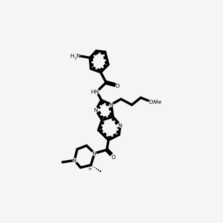 COCCCn1c(NC(=O)c2cccc(N)c2)nc2cc(C(=O)N3CCN(C)C[C@H]3C)cnc21